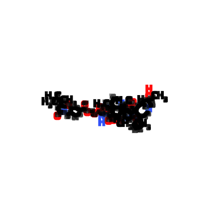 CC[C@]1(O)C[C@@H]2CN(CCc3c([nH]c4ccccc34)[C@@](C(=O)OC)(c3cc4c(cc3OC)N(C)[C@H]3[C@@](O)(C(=O)NNC(=O)OCOC(=O)C5CCC(CN6C(=O)CC(C(C)(C)C)C6=O)CC5)[C@H](O)[C@]5(CC)C=CCN6CC[C@]43[C@@H]65)C2)C1